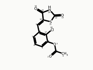 CC(=O)Oc1cccc(/C=C2\SC(=O)NC2=O)c1Cl